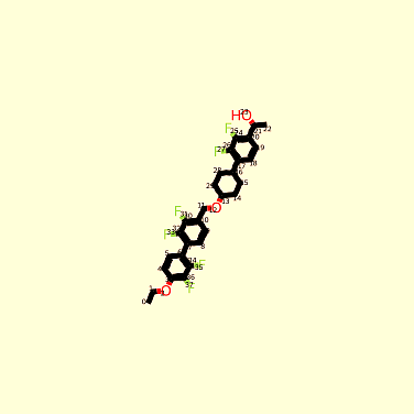 CCOc1ccc(-c2ccc(COC3CCC(c4ccc(C(C)O)c(F)c4F)CC3)c(F)c2F)c(F)c1F